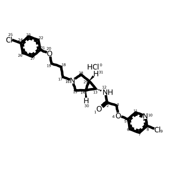 Cl.O=C(COc1ccc(Cl)nc1)N[C@@H]1[C@@H]2CN(CCCOc3ccc(Cl)cc3)C[C@@H]21